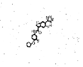 O=C(Nc1ccc(OC2CCCC2)c(F)c1)c1coc2cc(-c3nnn[nH]3)c(F)cc12